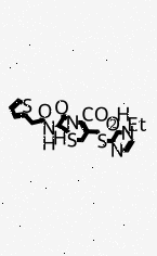 CCn1ccnc(SCC2=C(C(=O)O)N3C(=O)[C@@H](NC(=O)Cc4cccs4)[C@H]3SC2)c1=O